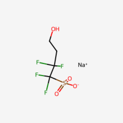 O=S(=O)([O-])C(F)(F)C(F)(F)CCO.[Na+]